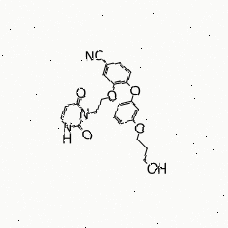 N#Cc1ccc(Oc2cccc(OCCCO)c2)c(OCCn2c(=O)cc[nH]c2=O)c1